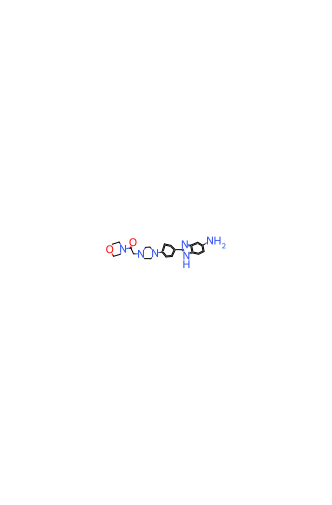 Nc1ccc2[nH]c(-c3ccc(N4CCN(CC(=O)N5CCOCC5)CC4)cc3)nc2c1